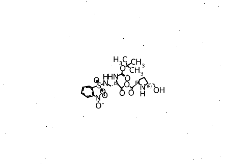 CC(C)(C)OC(=O)N[C@@H](CNS(=O)(=O)c1ccccc1[N+](=O)[O-])C(=O)OC(=O)[C@H]1CC[C@H](CO)N1